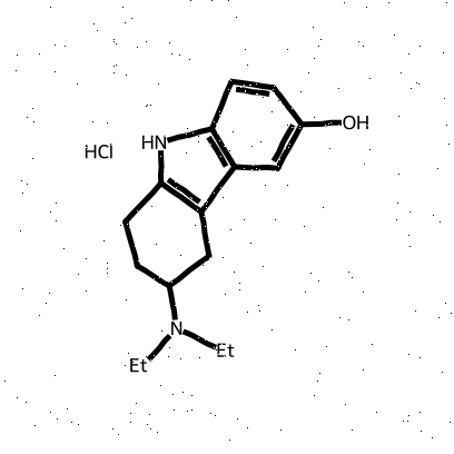 CCN(CC)C1CCc2[nH]c3ccc(O)cc3c2C1.Cl